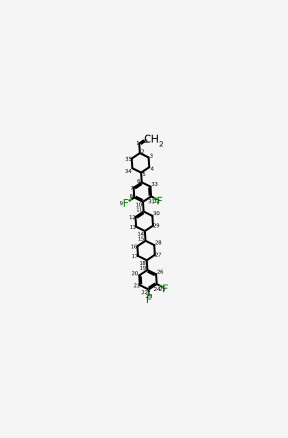 C=CC1CCC(c2cc(F)c(C3=CCC(C4CCC(c5ccc(F)c(F)c5)CC4)CC3)c(F)c2)CC1